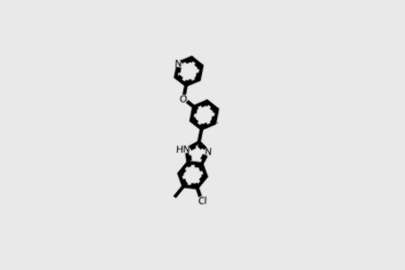 Cc1cc2[nH]c(-c3[c]ccc(Oc4cccnc4)c3)nc2cc1Cl